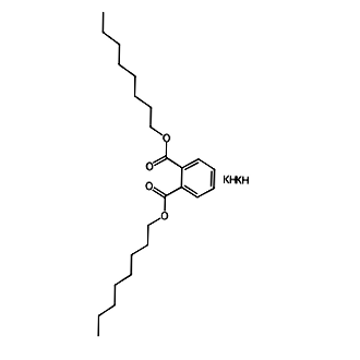 CCCCCCCCOC(=O)c1ccccc1C(=O)OCCCCCCCC.[KH].[KH]